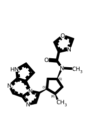 C[C@@H]1C[C@H](N(C)C(=O)c2cocn2)C[C@@H]1c1cnc2cnc3[nH]ccc3n12